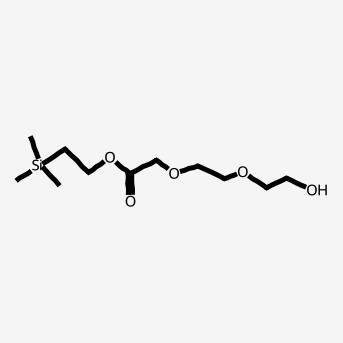 C[Si](C)(C)CCOC(=O)COCCOCCO